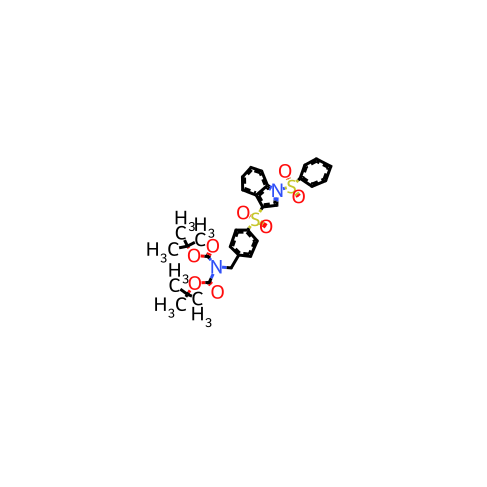 CC(C)(C)OC(=O)N(Cc1ccc(S(=O)(=O)c2cn(S(=O)(=O)c3ccccc3)c3ccccc23)cc1)C(=O)OC(C)(C)C